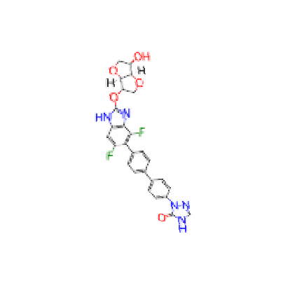 O=c1[nH]cnn1-c1ccc(-c2ccc(-c3c(F)cc4[nH]c(O[C@@H]5CO[C@H]6[C@@H]5OC[C@H]6O)nc4c3F)cc2)cc1